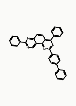 c1ccc(-c2ccc(-c3nc(-c4ccccc4)c4ccc5nc(-c6ccccc6)ncc5c4n3)cc2)cc1